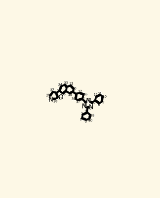 c1ccc(-c2nc(-c3ccccc3)nc(-c3ccc(-c4ccc5ccc6c7ccncc7oc6c5c4)cc3)n2)cc1